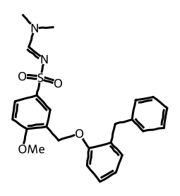 COc1ccc(S(=O)(=O)N=CN(C)C)cc1COc1ccccc1Cc1ccccc1